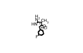 CN(C(=N)N)C(=O)Cc1cccc(F)c1.Cl